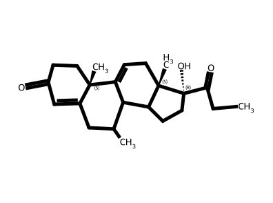 CCC(=O)[C@@]1(O)CCC2C3C(=CC[C@@]21C)[C@@]1(C)CCC(=O)C=C1CC3C